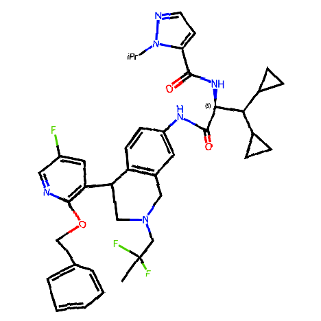 CC(C)n1nccc1C(=O)N[C@H](C(=O)Nc1ccc2c(c1)CN(CC(C)(F)F)CC2c1cc(F)cnc1OCc1ccccc1)C(C1CC1)C1CC1